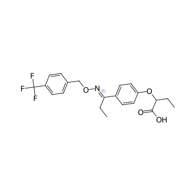 CC/C(=N\OCc1ccc(C(F)(F)F)cc1)c1ccc(OC(CC)C(=O)O)cc1